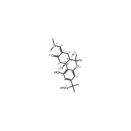 CCCCCCC(C)(C)c1cc(O)c2c(c1)OC(C)(C)[C@@H]1C/C(=C/N(C)C)C(=O)C[C@@H]21